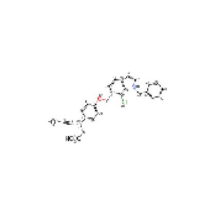 CC#C[C@@H](CC(=O)O)c1ccc(OCc2ccc3ccn(Cc4ccccc4)c3c2Cl)cc1